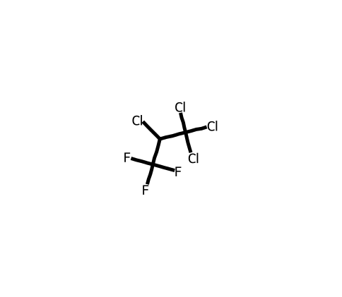 FC(F)(F)C(Cl)C(Cl)(Cl)Cl